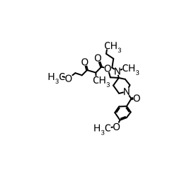 CCCCN(C)C1(COC(=O)C(C)C(=O)CCOC)CCN(C(=O)c2ccc(OC)cc2)CC1